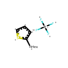 CCCCCCc1cccs1.F[B-](F)(F)F